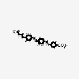 O=C(O)c1ccc(N=Nc2ccc(N=Nc3ccc(NCCCO)cc3)cc2)cc1